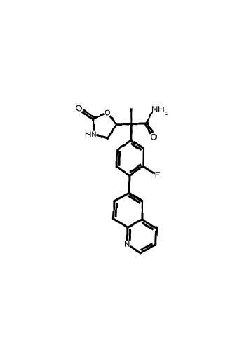 CC(C(N)=O)(c1ccc(-c2ccc3ncccc3c2)c(F)c1)C1CNC(=O)O1